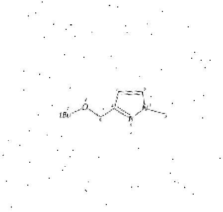 Cn1ccc(COC(C)(C)C)n1